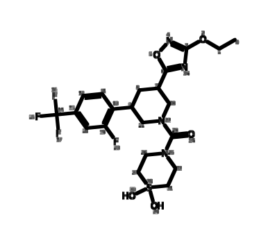 CCOc1noc(C2CC(c3ccc(C(F)(F)F)cc3F)CN(C(=O)N3CCS(O)(O)CC3)C2)n1